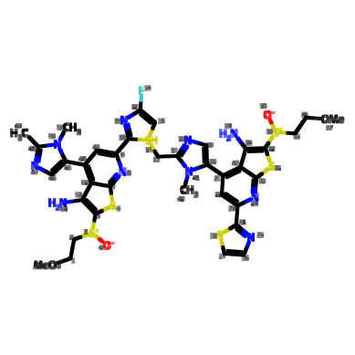 COCC[S+]([O-])c1sc2nc(C3=NC(F)=C[SH]3Cc3ncc(-c4cc(-c5nccs5)nc5sc([S+]([O-])CCOC)c(N)c45)n3C)cc(-c3cnc(C)n3C)c2c1N